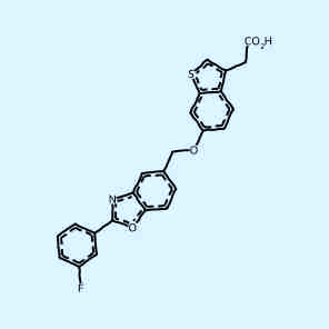 O=C(O)Cc1csc2cc(OCc3ccc4oc(-c5cccc(F)c5)nc4c3)ccc12